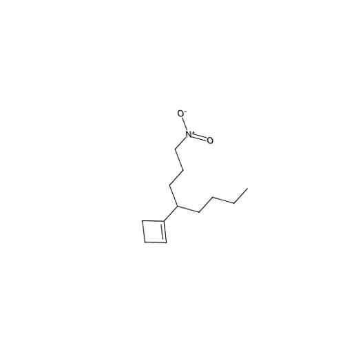 CCCCC(CCC[N+](=O)[O-])C1=CCC1